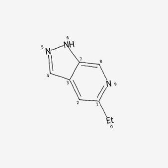 CCc1cc2cn[nH]c2cn1